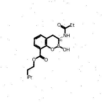 CCC(=O)N[C@H]1Cc2cccc(C(=O)OCCC(C)C)c2OB1O